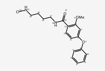 COc1cc(Oc2ccccc2)ccc1C(=O)NCCCCNCl